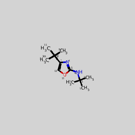 CC(C)(C)Nc1nc(C(C)(C)C)co1